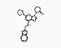 O=C1CCCC1n1cnc2c(NCc3nc4ccccc4s3)nc(N3CCCC3)nc21